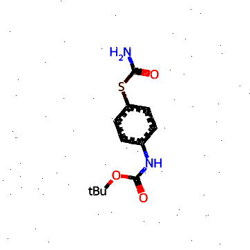 CC(C)(C)OC(=O)Nc1ccc(SC(N)=O)cc1